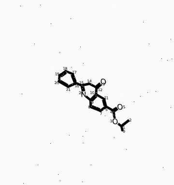 CC(C)OC(=O)c1ccc2c(c1)C(=O)CC(c1ccccc1)=N2